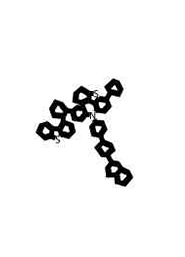 c1ccc(-c2ccc(N(c3ccc(-c4ccc(-c5ccc6ccccc6c5)cc4)cc3)c3ccc(-c4ccccc4-c4cccc5sc6ccccc6c45)cc3)c3c2sc2ccccc23)cc1